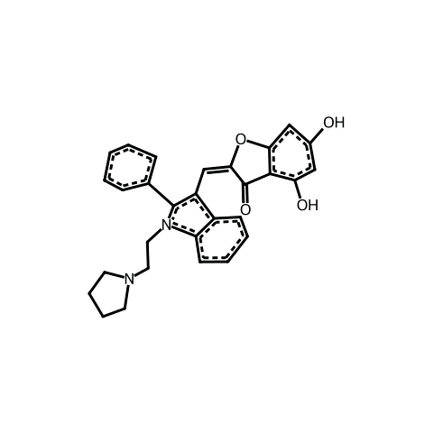 O=C1C(=Cc2c(-c3ccccc3)n(CCN3CCCC3)c3ccccc23)Oc2cc(O)cc(O)c21